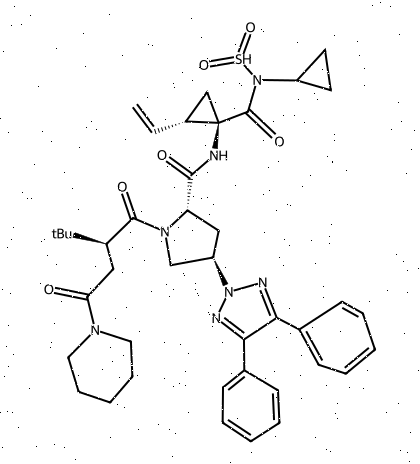 C=C[C@@H]1C[C@]1(NC(=O)[C@@H]1C[C@@H](n2nc(-c3ccccc3)c(-c3ccccc3)n2)CN1C(=O)[C@@H](CC(=O)N1CCCCC1)C(C)(C)C)C(=O)N(C1CC1)[SH](=O)=O